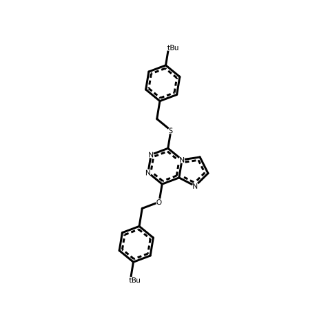 CC(C)(C)c1ccc(COc2nnc(SCc3ccc(C(C)(C)C)cc3)n3ccnc23)cc1